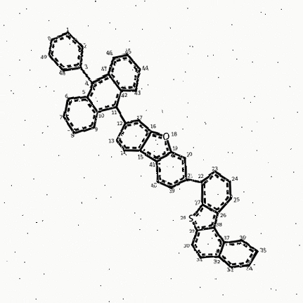 c1ccc(-c2c3ccccc3c(-c3ccc4c(c3)oc3cc(-c5cccc6c5sc5ccc7ccccc7c56)ccc34)c3ccccc23)cc1